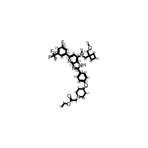 CCOC(=O)CN1CCC(Oc2ccc(-c3nc4nc(-c5cc(F)cc(C(F)(F)F)c5)cc(N(C)CC5(COC)CCC5)c4[nH]3)cc2)CC1